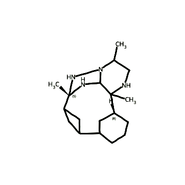 CC1CNC2(C)C3N[C@@](C)(NN13)C1CC(C1)C1CCC[C@@H]2C1